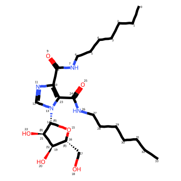 CCCCCCCNC(=O)c1ncn([C@@H]2O[C@H](CO)[C@@H](O)[C@H]2O)c1C(=O)NCCCCCCC